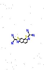 N#CC(C#N)=c1nc2cc3ccc4nc(=C(C#N)C#N)sc4c3cc2s1